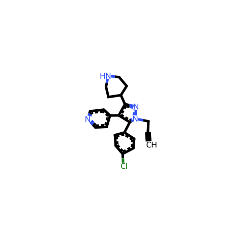 C#CCn1nc(C2CCNCC2)c(-c2ccncc2)c1-c1ccc(Cl)cc1